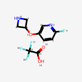 Fc1ccc(OC2CNC2)cn1.O=C(O)C(F)(F)F